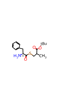 CC(CSC(=O)[C@@H](N)Cc1ccccc1)C(=O)OC(C)(C)C